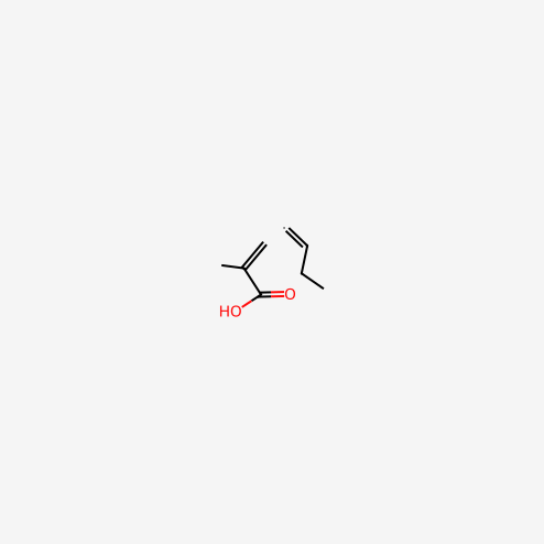 C=C(C)C(=O)O.[CH]=CCC